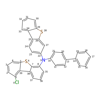 Clc1cccc2sc3c(N(c4ccc(-c5ccccc5)cc4)c4ccc5c(c4)sc4ccccc45)cccc3c12